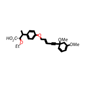 CCO[C@H](C(=O)O)C(C)c1ccc(OCC=CC#CC2(OC)C=CC=C(OC)C2)cc1